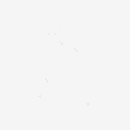 CCOc1cccc(C(Nc2cc3ccnc(N(OC(C)(C)C)C(=O)OC(C)(C)C)c3cc2F)C(=O)O)c1